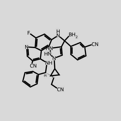 BC(Nc1cc(F)c2ncc(C#N)c(N[C@H](CCC#N)c3ccccc3)c2c1)(C1=CN(C2CC2)NN1)c1cccc(C#N)c1